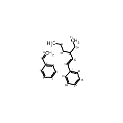 C=Cc1ccccc1.CCCC(C=Cc1ccccc1)CC